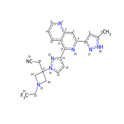 Cc1cc(-c2cc3ncccc3c(-c3ccn(C4(CC#N)CN(CC(F)(F)F)C4)n3)n2)n[nH]1